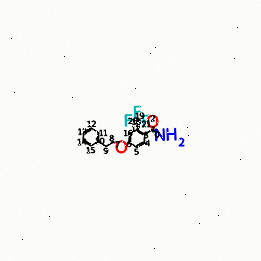 NC(=O)c1ccc(OCCc2ccccc2)cc1C(F)(F)F